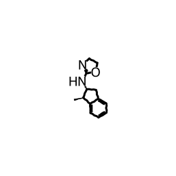 C[C@@H]1c2ccccc2C[C@@H]1NC1=NCCO1